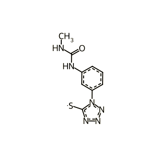 CNC(=O)Nc1cccc(-n2nnnc2[S])c1